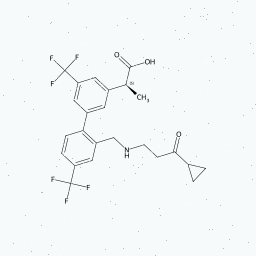 C[C@H](C(=O)O)c1cc(-c2ccc(C(F)(F)F)cc2CNCCC(=O)C2CC2)cc(C(F)(F)F)c1